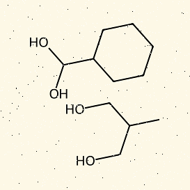 CC(CO)CO.OC(O)C1CCCCC1